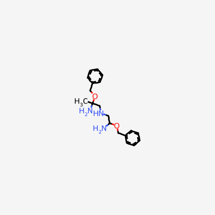 CC(N)(CNCC(N)OCc1ccccc1)OCc1ccccc1